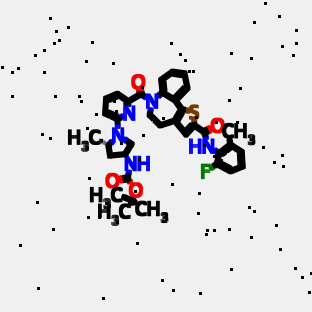 Cc1cccc(F)c1NC(=O)c1cc2c(s1)-c1ccccc1N(C(=O)c1cccc(N3C[C@@H](NC(=O)OC(C)(C)C)C[C@@H]3C)n1)CC2